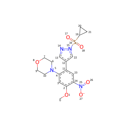 COc1cc(N2CCOCC2)c(-c2cnn(S(=O)(=O)C3CC3)c2)cc1[N+](=O)[O-]